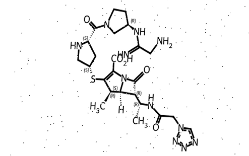 C[C@@H](NC(=O)Cn1cnnn1)[C@H]1C(=O)N2C(C(=O)O)=C(S[C@@H]3CN[C@H](C(=O)N4CC[C@@H](NC(=N)CN)C4)C3)[C@H](C)[C@H]12